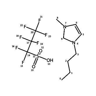 CCCCN1C=CN(C)C1.O=S(=O)(O)C(F)(F)C(F)(F)C(F)(F)F